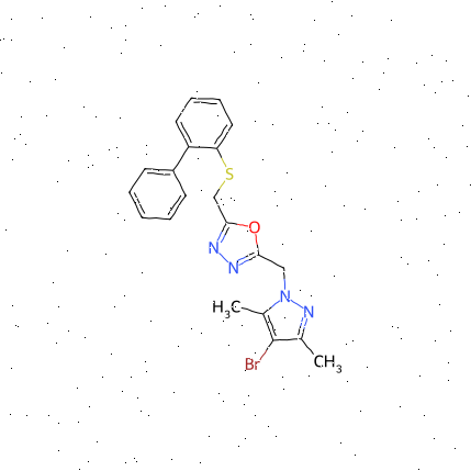 Cc1nn(Cc2nnc(CSc3ccccc3-c3ccccc3)o2)c(C)c1Br